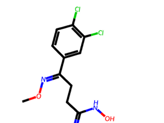 CO/N=C(\CCC(=N)NO)c1ccc(Cl)c(Cl)c1